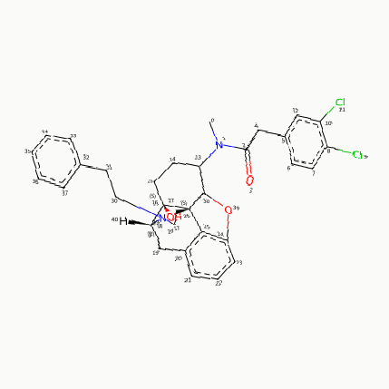 CN(C(=O)Cc1ccc(Cl)c(Cl)c1)C1CC[C@@]2(O)[C@H]3Cc4cccc5c4[C@@]2(CCN3CCc2ccccc2)C1O5